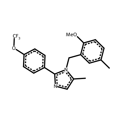 COc1ccc(C)cc1Cn1c(C)cnc1-c1ccc(OC(F)(F)F)cc1